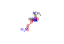 Cc1ncsc1-c1ccc(CNC(=O)[C@@H]2CCCN2C(=O)[C@@H](NC(=O)COCCCCCOc2ccc(C(N)=O)cc2)C(C)(C)C)cc1